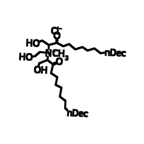 CCCCCCCCCCCCCCCCCC(=O)C(CO)[N+](C)(CCO)C(CO)C(=O)CCCCCCCCCCCCCCCCC.[Cl-]